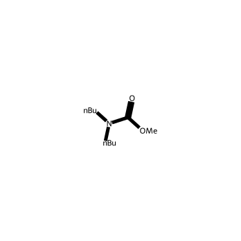 CCCCN(CCCC)C(=O)OC